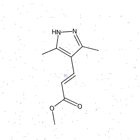 COC(=O)/C=C/c1c(C)n[nH]c1C